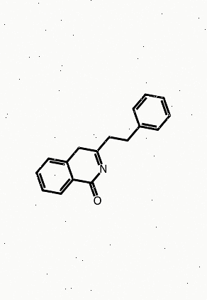 O=C1N=C(CCc2ccccc2)Cc2ccccc21